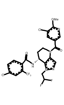 COc1ncc(C(=O)N2CC[C@@H](NC(=O)c3ccc(Cl)cc3C(F)(F)F)c3c2cnn3CC(F)F)cc1Cl